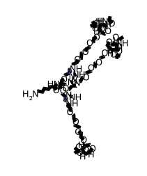 CC(=O)N[C@H]1[C@H]2OC[C@](COCCOCCOCCOCCN/C=C(/COCC(COC/C(=C/NCCOCCOCCOCCOC[C@]34CO[C@H](C[C@H]5OC(C)(C)O[C@H]53)O4)N=N)(COCc3cn(CCOCCOCCOCCOC[C@@]45CO[C@@H](O4)[C@H](NC(C)=O)[C@H]4OC(C)(C)O[C@H]45)nn3)NC(=O)CCCCCN)N=N)(O2)[C@@H]2OC(C)(C)O[C@H]12